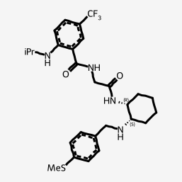 CSc1ccc(CN[C@H]2CCCC[C@H]2NC(=O)CNC(=O)c2cc(C(F)(F)F)ccc2NC(C)C)cc1